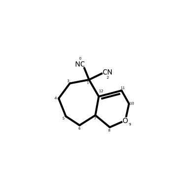 N#CC1(C#N)CCCCC2COCC=C21